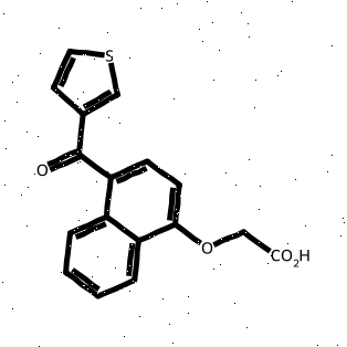 O=C(O)COc1ccc(C(=O)c2ccsc2)c2ccccc12